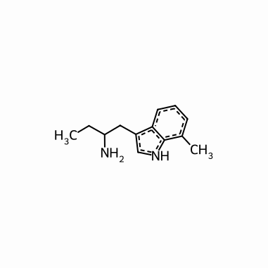 CCC(N)Cc1c[nH]c2c(C)cccc12